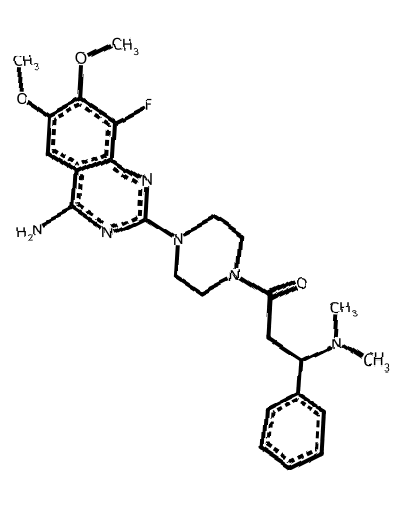 COc1cc2c(N)nc(N3CCN(C(=O)CC(c4ccccc4)N(C)C)CC3)nc2c(F)c1OC